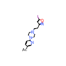 CC(=O)c1ccc(N2CCN(CCc3cc(I)on3)CC2)nc1